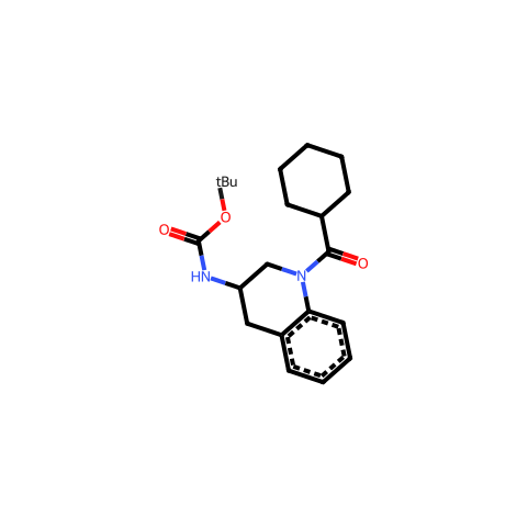 CC(C)(C)OC(=O)NC1Cc2ccccc2N(C(=O)C2CCCCC2)C1